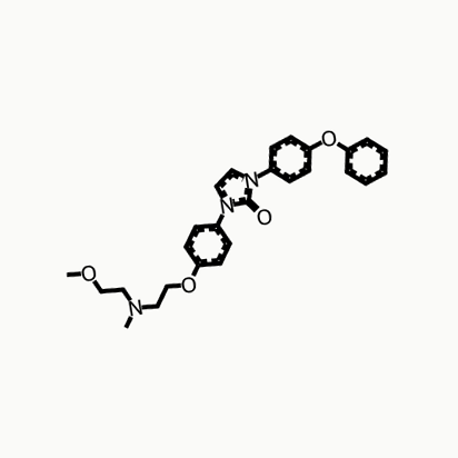 COCCN(C)CCOc1ccc(-n2ccn(-c3ccc(Oc4ccccc4)cc3)c2=O)cc1